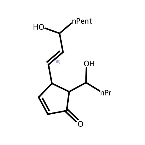 CCCCCC(O)/C=C/C1C=CC(=O)C1C(O)CCC